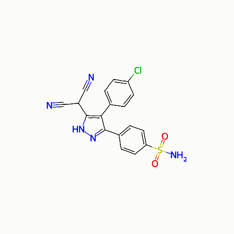 N#CC(C#N)c1[nH]nc(-c2ccc(S(N)(=O)=O)cc2)c1-c1ccc(Cl)cc1